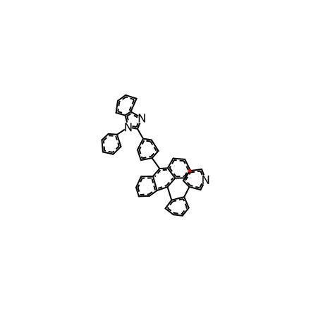 c1ccc(-n2c(-c3ccc(-c4c5ccccc5c(-c5ccccc5-c5cccnc5)c5ccccc45)cc3)nc3ccccc32)cc1